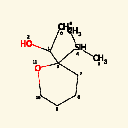 [CH2]C(O)C1([SiH](C)C)CCCCO1